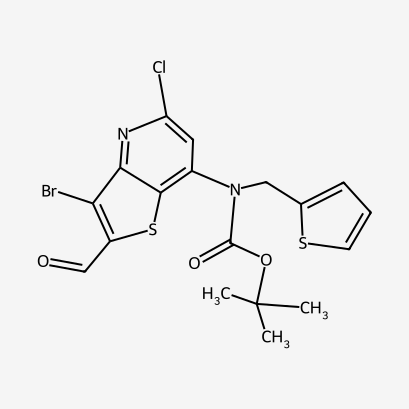 CC(C)(C)OC(=O)N(Cc1cccs1)c1cc(Cl)nc2c(Br)c(C=O)sc12